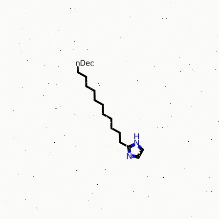 CCCCCCCCCCCCCCCCCCCCCc1ncc[nH]1